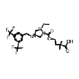 CC[C@@H]1C[C@H](NCc2cc(C(F)(F)F)cc(C(F)(F)F)c2)CN1C(=O)OCCC(C)(C)C(=O)O